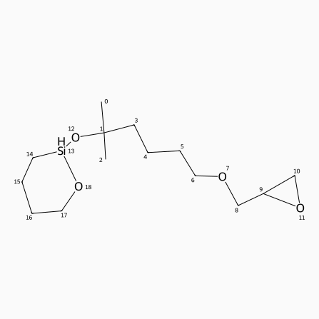 CC(C)(CCCCOCC1CO1)O[SiH]1CCCCO1